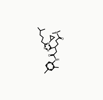 Cc1ccc(NC(=O)CC(CCC(=O)N(C)C)c2nnc(CCCC(C)C)n2C2CC2)c(C)c1